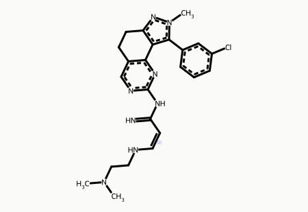 CN(C)CCN/C=C\C(=N)Nc1ncc2c(n1)-c1c(nn(C)c1-c1cccc(Cl)c1)CC2